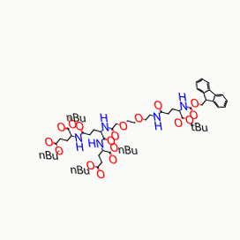 CCCCOC(=O)CCC(NC(=O)CCC(NC(=O)COCCOCCNC(=O)CCC(NC(=O)OCC1c2ccccc2-c2ccccc21)C(=O)OC(C)(C)C)C(=O)NC(CCC(=O)OCCCC)C(=O)OCCCC)C(=O)OCCCC